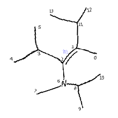 C/C(=C(/C(C)C)N(C)C(C)C)C(C)C